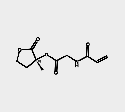 C=CC(=O)NCC(=O)O[C@@]1(C)CCOC1=O